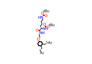 CC(=O)SCc1ccc(OCCNC(=O)[C@@H](CCCCNC(=O)OC(C)(C)C)NC(=O)OC(C)(C)C)cc1CSC(C)=O